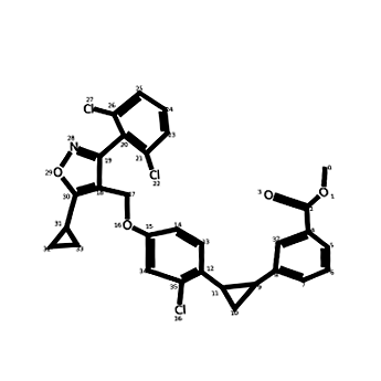 COC(=O)c1cccc(C2CC2c2ccc(OCc3c(-c4c(Cl)cccc4Cl)noc3C3CC3)cc2Cl)c1